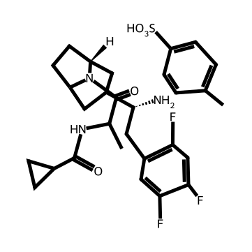 CC(NC(=O)C1CC1)C(=O)N1C2CC[C@@H]1CC([C@H](N)Cc1cc(F)c(F)cc1F)C2.Cc1ccc(S(=O)(=O)O)cc1